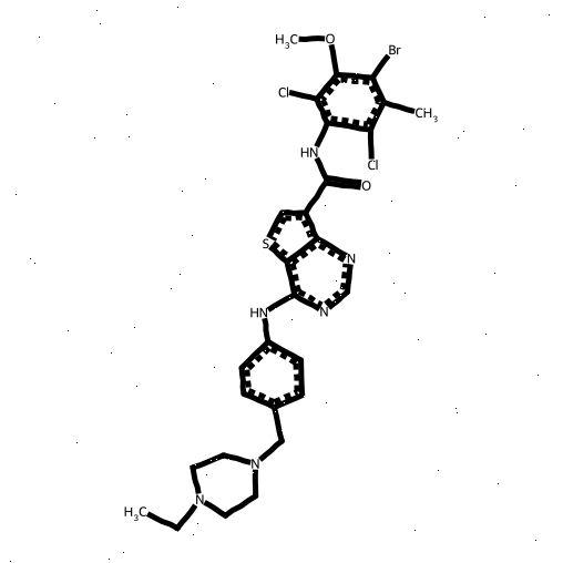 CCN1CCN(Cc2ccc(Nc3ncnc4c(C(=O)Nc5c(Cl)c(C)c(Br)c(OC)c5Cl)csc34)cc2)CC1